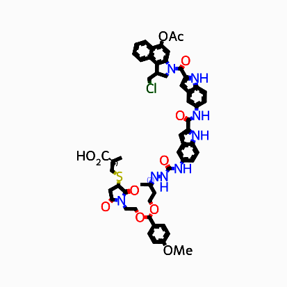 COc1ccc(C(OCC/C(C)=N\NC(=O)Nc2ccc3[nH]c(C(=O)Nc4ccc5[nH]c(C(=O)N6CC(CCl)c7c6cc(OC(C)=O)c6ccccc76)cc5c4)cc3c2)OCCN2C(=O)CC(SC[C@@H](C)C(=O)O)C2=O)cc1